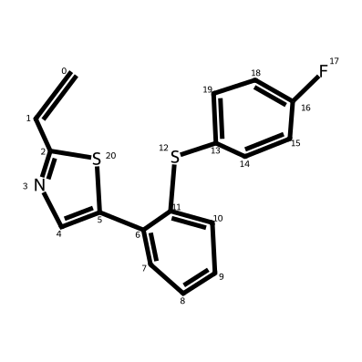 C=Cc1ncc(-c2ccccc2Sc2ccc(F)cc2)s1